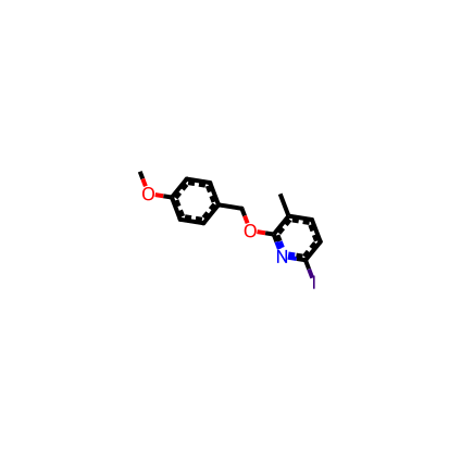 COc1ccc(COc2nc(I)ccc2C)cc1